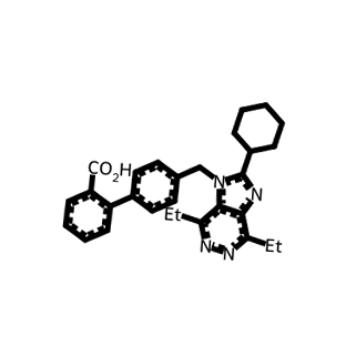 CCc1nnc(CC)c2c1nc(C1CCCCC1)n2Cc1ccc(-c2ccccc2C(=O)O)cc1